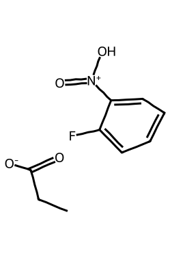 CCC(=O)[O-].O=[N+](O)c1ccccc1F